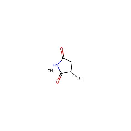 C.CC1CC(=O)NC1=O